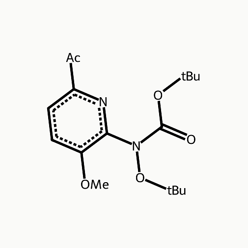 COc1ccc(C(C)=O)nc1N(OC(C)(C)C)C(=O)OC(C)(C)C